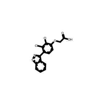 O=C(O)COc1ccc(-c2nsc3ccccc23)c(Cl)c1Cl